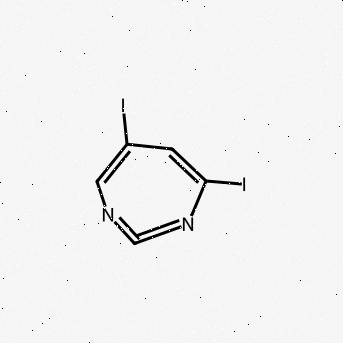 IC1=CN=C=NC(I)=C1